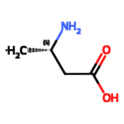 [CH2][C@H](N)CC(=O)O